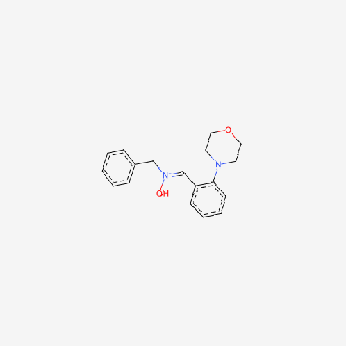 O/[N+](=C\c1ccccc1N1CCOCC1)Cc1ccccc1